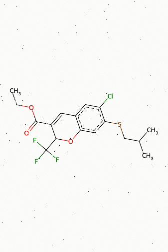 CCOC(=O)C1=Cc2cc(Cl)c(SCC(C)C)cc2OC1C(F)(F)F